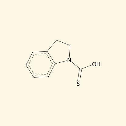 OC(=S)N1CCc2ccccc21